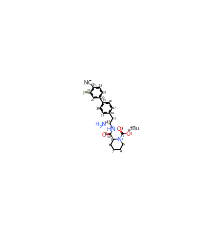 CC(C)(C)OC(=O)N1CCCC[C@H]1C(=O)N[C@H](N)Cc1ccc(-c2ccc(C#N)c(F)c2)cc1